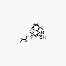 CCCCCC(C)(C)c1cccc(O)c1S(=O)(=O)O